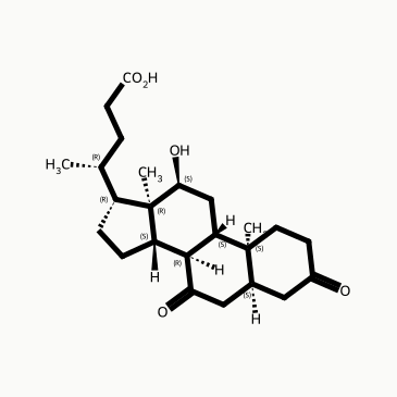 C[C@H](CCC(=O)O)[C@H]1CC[C@H]2[C@@H]3C(=O)C[C@@H]4CC(=O)CC[C@]4(C)[C@H]3C[C@H](O)[C@]12C